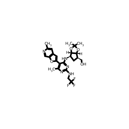 Cc1cc2cc(-c3c(C)nc(NCC(F)(F)F)nc3N[C@@H]3C[C@H](CO)[C@H]4OC(C)(C)O[C@H]43)oc2cn1